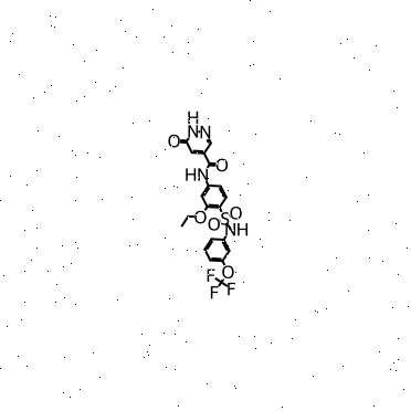 CCOc1cc(NC(=O)c2cn[nH]c(=O)c2)ccc1S(=O)(=O)Nc1cccc(OC(F)(F)F)c1